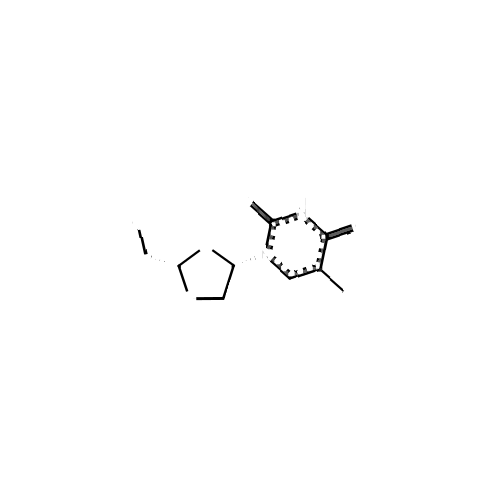 Cc1cn([C@@H]2CO[C@H](CO)O2)c(=O)[nH]c1=O